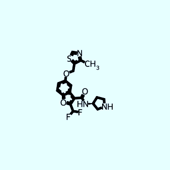 Cc1ncsc1COc1ccc2oc(C(F)F)c(C(=O)N[C@H]3CCNC3)c2c1